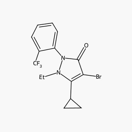 CCn1c(C2CC2)c(Br)c(=O)n1-c1ccccc1C(F)(F)F